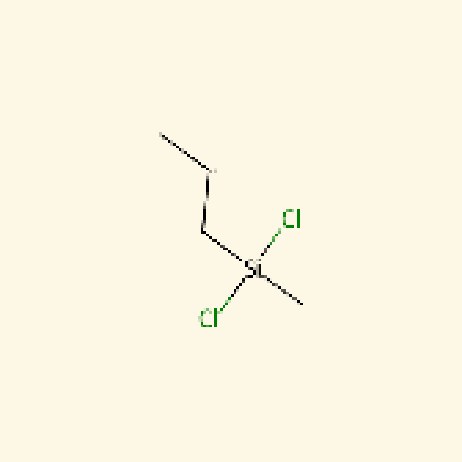 C[CH]C[Si](C)(Cl)Cl